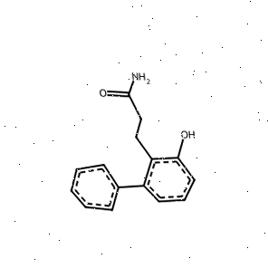 NC(=O)CCc1c(O)cccc1-c1ccccc1